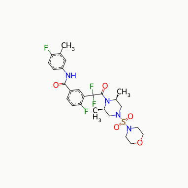 Cc1cc(NC(=O)c2ccc(F)c(C(F)(F)C(=O)N3[C@H](C)CN(S(=O)(=O)N4CCOCC4)C[C@@H]3C)c2)ccc1F